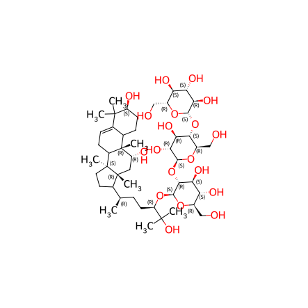 C[C@H](CC[C@@H](O[C@@H]1O[C@H](CO)[C@@H](O)[C@H](O)[C@H]1O[C@@H]1O[C@H](CO)[C@@H](O[C@@H]2O[C@H](CO)[C@@H](O)[C@H](O)[C@H]2O)[C@H](O)[C@H]1O)C(C)(C)O)C1CC[C@@]2(C)C3CC=C4C(CC[C@H](O)C4(C)C)[C@]3(C)[C@H](O)C[C@]12C